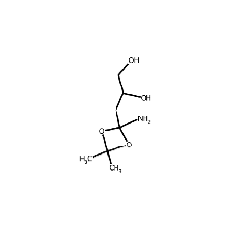 CC1(C)OC(N)(CC(O)CO)O1